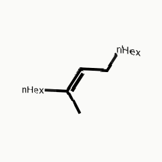 CCCCCCCC=C(C)CCCCCC